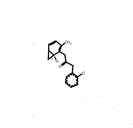 CC1=C(CC(=O)Cc2ccccc2Cl)[C@@H]2CC2C=C1